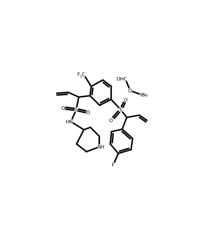 C=CC(c1cc(S(=O)(=O)C(C=C)c2ccc(F)cc2)ccc1C(F)(F)F)S(=O)(=O)NC1CCNCC1.CC(C)(C)OC=O